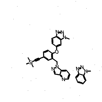 Cn1nnc2ccc(Oc3ccc(C#C[Si](C)(C)C)cc3Cn3ncc4ncccc43)cc21.Cn1nnc2ccccc21